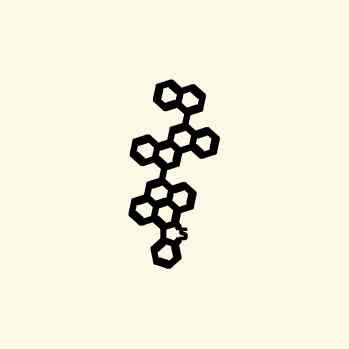 c1ccc2c(-c3cc4c5ccccc5c(-c5cc6cccc7c8c9ccccc9sc8c8cccc5c8c67)cc4c4ccccc34)cccc2c1